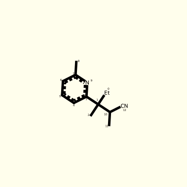 CCC(C)(c1cccc(C)n1)C(C)C#N